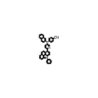 N#Cc1ccc(N(c2ccc(-c3ccc4c5c3ccc3cccc(c35)n4-c3ccccc3)nc2)c2ccc3ccccc3c2)cc1